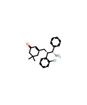 CC1(C)CC(=O)C=C(C[C@H](c2ccccc2Cl)[C@H](c2ccccc2)[N+](=O)[O-])C1